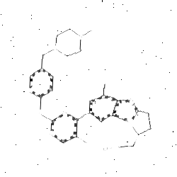 COC[C@@H]1CCc2nc3c(F)cc(-c4nc(Nc5ccc(CN6CCN(C(=O)O)CC6)cn5)ncc4F)cc3n21